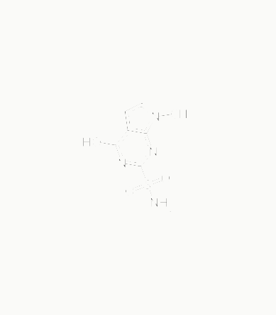 Cn1ccc2c(O)nc(S(N)(=O)=O)nc21